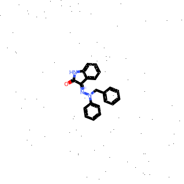 O=C1Nc2ccccc2/C1=N\N(Cc1ccccc1)c1ccccc1